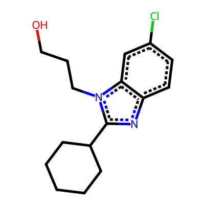 OCCCn1c(C2CCCCC2)nc2ccc(Cl)cc21